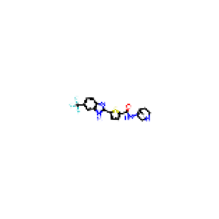 O=C(NC1CN2CCC1CC2)c1ccc(-c2nc3ccc(C(F)(F)F)cc3[nH]2)s1